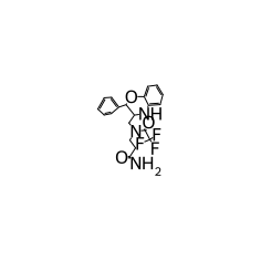 NC(=O)CCN(CC1Nc2ccccc2OC1c1ccccc1)C(=O)C(F)(F)F